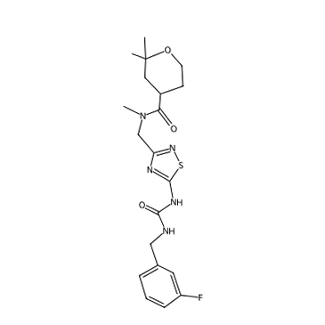 CN(Cc1nsc(NC(=O)NCc2cccc(F)c2)n1)C(=O)C1CCOC(C)(C)C1